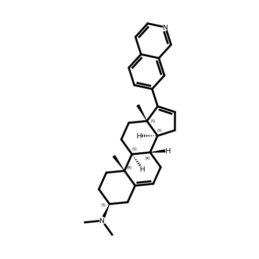 CN(C)[C@H]1CC[C@@]2(C)C(=CC[C@@H]3[C@@H]2CC[C@]2(C)C(c4ccc5ccncc5c4)=CC[C@@H]32)C1